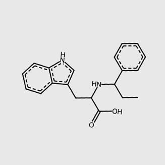 CCC(NC(Cc1c[nH]c2ccccc12)C(=O)O)c1ccccc1